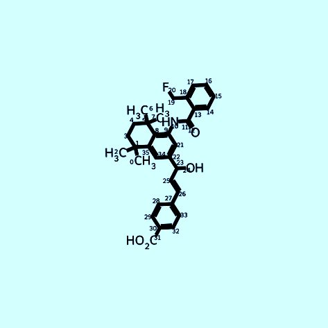 CC1(C)CCC(C)(C)c2c(NC(=O)c3ccccc3CF)cc(C(O)C=Cc3ccc(C(=O)O)cc3)cc21